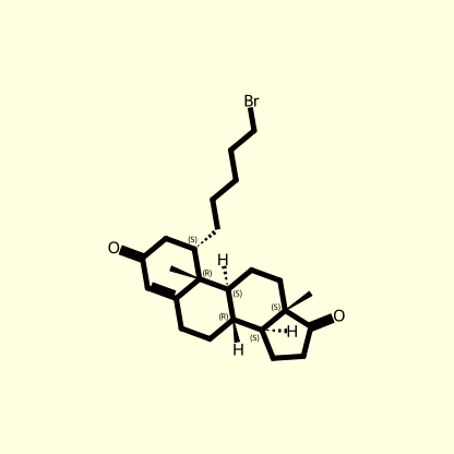 C[C@@]12C(=CC(=O)C[C@@H]1CCCCCBr)CC[C@@H]1[C@@H]2CC[C@]2(C)C(=O)CC[C@@H]12